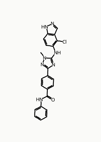 Cn1nc(-c2ccc(C(=O)Nc3ccccc3)cc2)nc1Nc1ccc2[nH]ncc2c1Cl